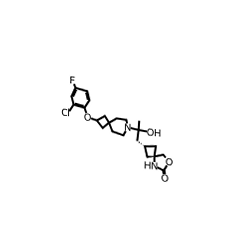 CC(O)(C[C@H]1C[C@]2(COC(=O)N2)C1)N1CCC2(CC1)CC(Oc1ccc(F)cc1Cl)C2